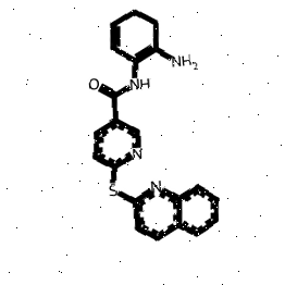 NC1=C(NC(=O)c2ccc(Sc3ccc4ccccc4n3)nc2)C=CCC1